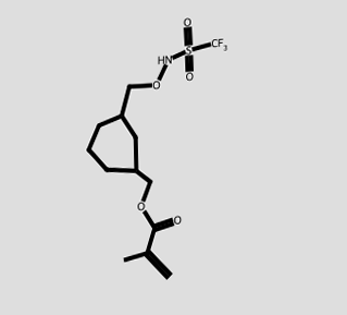 C=C(C)C(=O)OCC1CCCC(CONS(=O)(=O)C(F)(F)F)C1